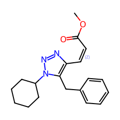 COC(=O)/C=C\c1nnn(C2CCCCC2)c1Cc1ccccc1